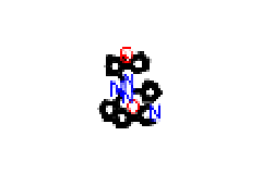 c1ccc(-c2nc(-c3cccc4oc5ccccc5c34)nc(-c3cccc4ccc5c6ccncc6oc5c34)n2)cc1